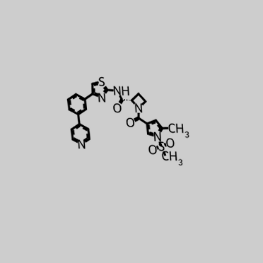 Cc1cc(C(=O)N2CC[C@H]2C(=O)Nc2nc(-c3cccc(-c4ccncc4)c3)cs2)cn1S(C)(=O)=O